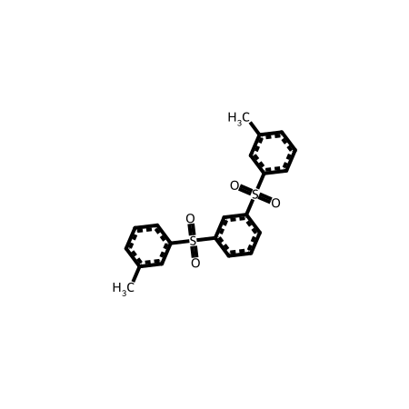 Cc1cccc(S(=O)(=O)c2cccc(S(=O)(=O)c3cccc(C)c3)c2)c1